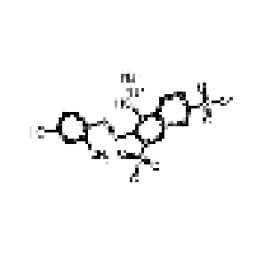 Cc1ccc(N=Nc2c(S(=O)(=O)[O-])cc3cc(S(=O)(=O)[O-])ccc3c2O)c(C)c1.[Na+].[Na+]